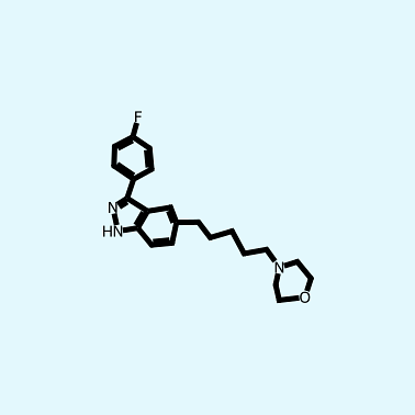 Fc1ccc(-c2n[nH]c3ccc(CCCCCN4CCOCC4)cc23)cc1